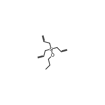 C=CC[Si](CC=C)(CC=C)OCCC